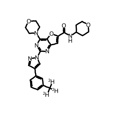 [2H]C([2H])([2H])c1cccc(-c2cnn(-c3nc(N4CCOCC4)c4oc(C(=O)NC5CCOCC5)cc4n3)c2)c1